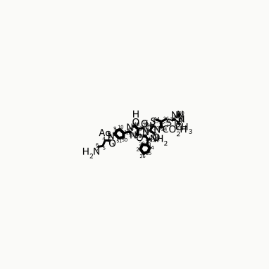 CC(=O)N(C(=O)CCCN)c1ccc(-c2ncc(C(=O)N(C(=O)C(N)c3ccccc3)C3C(=O)N4C(C(=O)O)=C(CSc5nnnn5C)CS[C@@H]34)c(O)n2)cc1